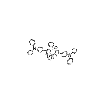 O=P1(c2ccccc2)c2cc(-c3ccc(N(c4ccccc4)c4ccccc4)cc3)sc2C2(OCCO2)c2sc(-c3ccc(N(c4ccccc4)c4ccccc4)cc3)cc21